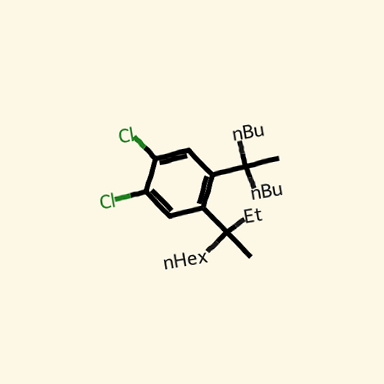 CCCCCCC(C)(CC)c1cc(Cl)c(Cl)cc1C(C)(CCCC)CCCC